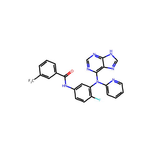 O=C(Nc1ccc(F)c(N(c2ccccn2)c2ncnc3[nH]cnc23)c1)c1cccc(C(F)(F)F)c1